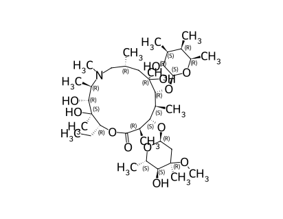 CC[C@H]1OC(=O)[C@H](C)[C@@H](O[C@H]2C[C@@](C)(OC)[C@@H](O)[C@H](C)O2)[C@H](C)[C@@H](O[C@@H]2O[C@H](C)[C@H](C)[C@H](C)[C@H]2O)[C@](C)(O)C[C@@H](C)CN(C)[C@H](C)[C@@H](O)[C@]1(C)O